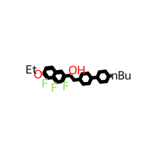 CCCCC1CCC(C2CCC(CC(O)c3cc4ccc(OCC)c(F)c4c(F)c3F)CC2)CC1